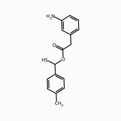 Cc1ccc(C(S)OC(=O)Cc2cccc(N)c2)cc1